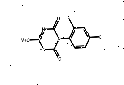 COc1nc(=O)n(-c2ccc(Cl)cc2C)c(=O)[nH]1